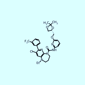 CCN1CCCN(C(=O)Nc2cccc(OC[C@@H]3COC(C)(C)O3)n2)c2nc(-c3cccc(C(F)(F)F)c3)c(Cl)cc21